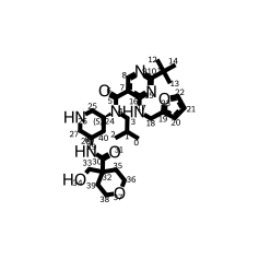 CC(C)CN(C(=O)c1cnc(C(C)(C)C)nc1NCc1ccco1)[C@@H]1CNC[C@H](NC(=O)C2(CO)CCOCC2)C1